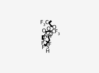 C=CNC(=O)C(OCCC(F)(F)C(F)(F)S)(OC(=O)C(=C)C(F)(F)F)C(F)(F)F